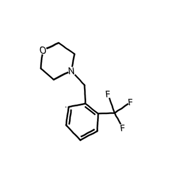 FC(F)(F)c1ccc[c]c1CN1CCOCC1